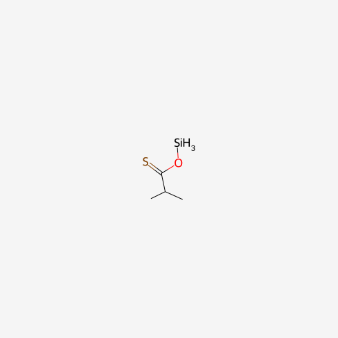 CC(C)C(=S)O[SiH3]